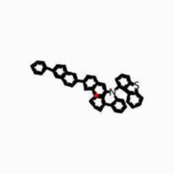 c1ccc(-c2ccc3cc(-c4ccc5cc(N(c6ccccc6-c6ccccc6)c6cccc7sc8ccccc8c67)ccc5c4)ccc3c2)cc1